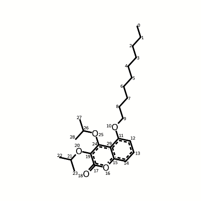 CCCCCCCCCCOc1cccc2oc(=O)c(OC(C)C)c(OC(C)C)c12